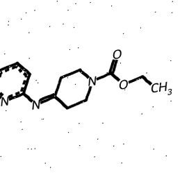 CCOC(=O)N1CCC(=Nc2ccccn2)CC1